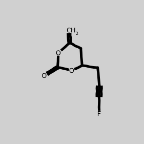 C=C1CC(CC#CF)OC(=O)O1